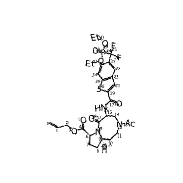 C=CCOC(=O)[C@@H]1CC[C@@H]2CCN(C(C)=O)C[C@H](NC(=O)c3cc4cc(C(F)(F)P(=O)(OCC)OCC)ccc4s3)C(=O)N21